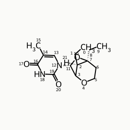 CC[C@@H]1C2OCC[C@]1(CC)O[C@H]2n1cc(C)c(=O)[nH]c1=O